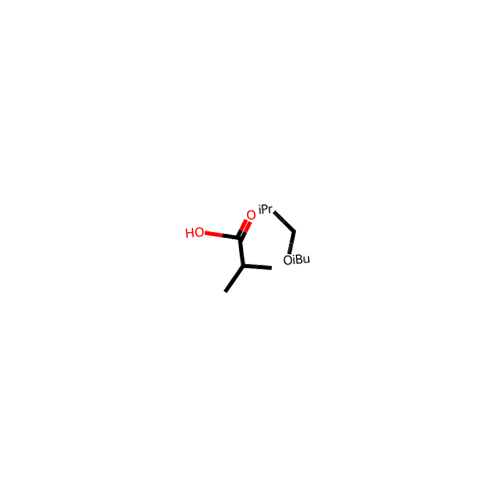 CC(C)C(=O)O.CC(C)COCC(C)C